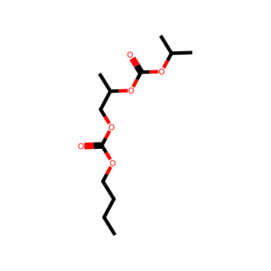 CCCCOC(=O)OC[C](C)OC(=O)OC(C)C